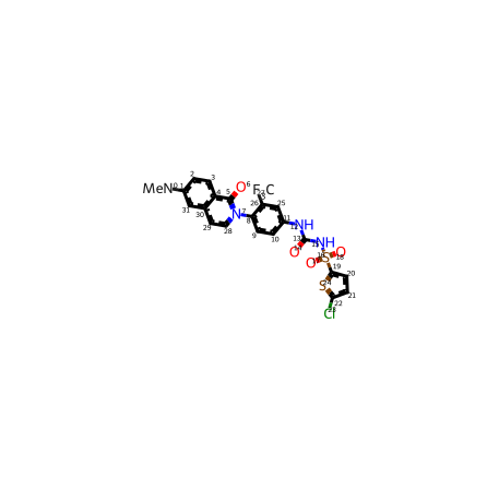 CNc1ccc2c(=O)n(-c3ccc(NC(=O)NS(=O)(=O)c4ccc(Cl)s4)cc3C(F)(F)F)ccc2c1